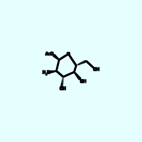 CC(=O)O[C@H]1O[C@H](CO)[C@@H](O)[C@H](O)[C@H]1N